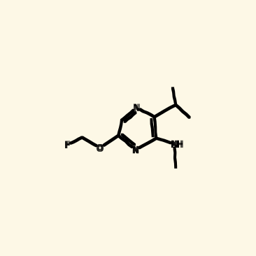 CNc1nc(OCF)cnc1C(C)C